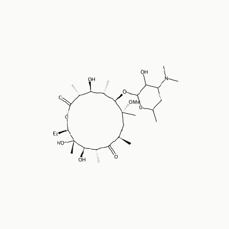 CC[C@H]1OC(=O)[C@H](C)[C@@H](O)[C@H](C)[C@@H](OC2OC(C)CC(N(C)C)C2O)[C@](C)(OC)C[C@@H](C)C(=O)[C@H](C)[C@@H](O)[C@]1(C)O